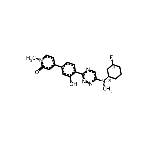 CN(c1cnc(-c2ccc(-c3ccn(C)c(=O)c3)cc2O)nn1)[C@@H]1CCC[C@H](F)C1